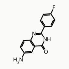 Nc1ccc2nc(-c3ccc(F)cc3)[nH]c(=O)c2c1